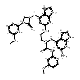 COc1ccnc(NC(=O)[C@@H](CCNc2nc(S[C@@H]3CN(c4nccc(OC)n4)C3=O)c3[nH]cnc3n2)Sc2nc(N)nc3nc[nH]c23)c1